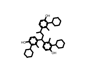 Cc1c(C(C)CC(c2ccc(O)c(C3CCCCC3)c2C)c2ccc(O)c(C3CCCCC3)c2C)ccc(O)c1C1CCCCC1